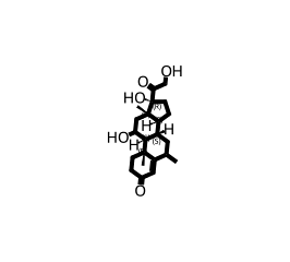 CC1C[C@@H]2[C@H](C(O)C[C@@]3(C)[C@H]2CC[C@]3(O)C(=O)CO)[C@@]2(C)CCC(=O)C=C12